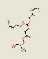 [CH2]C(CO)COC(=O)CCC(OCC/C=C\CC)OCC/C=C\CC